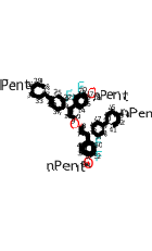 CCCCCOc1ccc(C(=CCOCC=C(c2ccc(OCCCCC)c(F)c2F)[C@H]2CC[C@H]([C@H]3CC[C@H](CCCCC)CC3)CC2)[C@H]2CC[C@H]([C@H]3CC[C@H](CCCCC)CC3)CC2)c(F)c1F